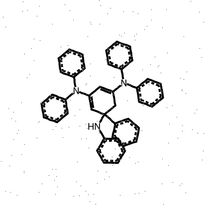 C1=C(N(c2ccccc2)c2ccccc2)C=C(N(c2ccccc2)c2ccccc2)CC1(Nc1ccccc1)c1ccccc1